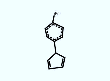 CC(C)c1ccc(C2C=CC=C2)cc1